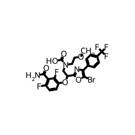 COCCN(CC(Oc1ccc(F)c(C(N)=O)c1F)c1nc(-c2ccc(C(F)(F)F)cc2)c(Br)o1)C(=O)O